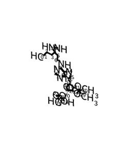 C#CCCC1(CCNc2ncnc3c2ncn3[C@H]2O[C@@H](COP(=O)(O)O)C3OC(C)(C)OC32)NN1